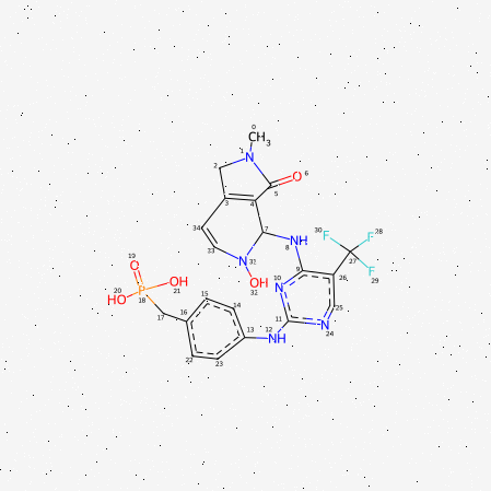 CN1CC2=C(C1=O)C(Nc1nc(Nc3ccc(CP(=O)(O)O)cc3)ncc1C(F)(F)F)N(O)C=C2